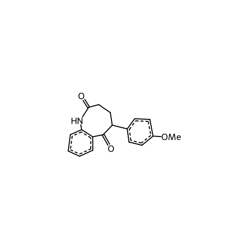 COc1ccc(C2CCC(=O)Nc3ccccc3C2=O)cc1